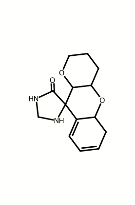 O=C1NCNC12C1=CC=CCC1OC1CCCOC12